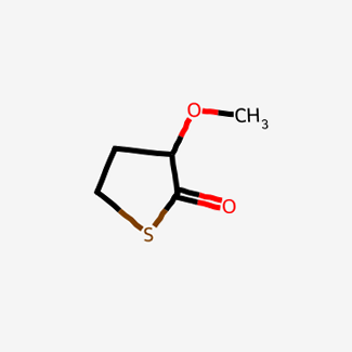 COC1CCSC1=O